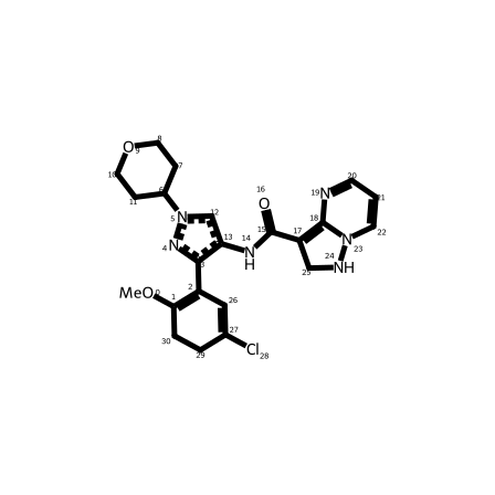 COC1=C(c2nn(C3CCOCC3)cc2NC(=O)C2=C3N=CC=CN3NC2)C=C(Cl)CC1